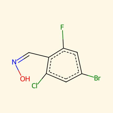 O/N=C\c1c(F)cc(Br)cc1Cl